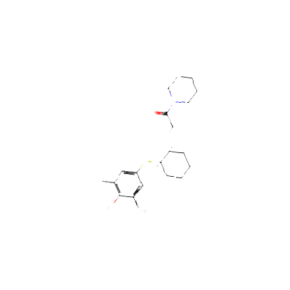 CC(C)(C)c1cc(S[C@@H]2CCCC[C@H]2SCC(=O)N2CCCCC2)cc(C(C)(C)C)c1O